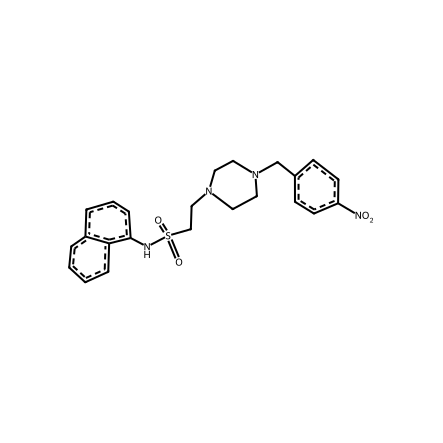 O=[N+]([O-])c1ccc(CN2CCN(CCS(=O)(=O)Nc3cccc4ccccc34)CC2)cc1